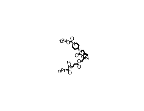 CCCC(=O)NCCC(=O)OCc1ncc2n1C(=O)N(C1CCN(C(=O)OC(C)(C)C)CC1)C2